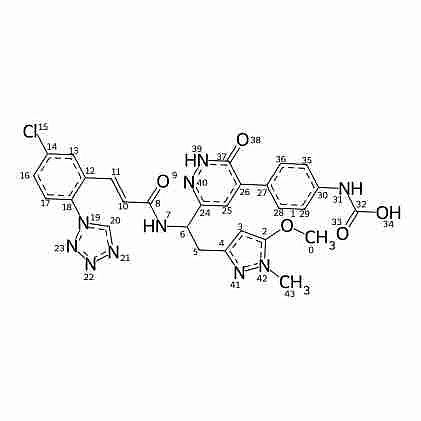 COc1cc(CC(NC(=O)C=Cc2cc(Cl)ccc2-n2cnnn2)c2cc(-c3ccc(NC(=O)O)cc3)c(=O)[nH]n2)nn1C